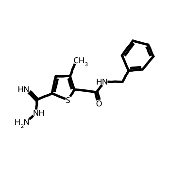 Cc1cc(C(=N)NN)sc1C(=O)NCc1ccccc1